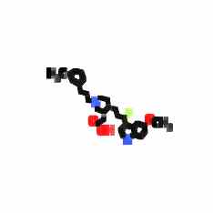 COc1ccc2nccc(C(F)CC[C@@H]3CCN(CCCc4cccc(C)c4)C[C@@H]3CC(=O)O)c2c1